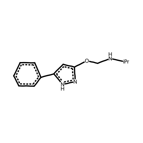 CC(C)NCOc1cc(-c2ccccc2)[nH]n1